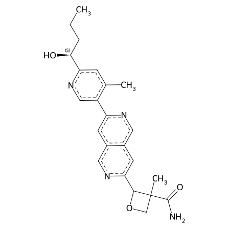 CCC[C@H](O)c1cc(C)c(-c2cc3cnc(C4OCC4(C)C(N)=O)cc3cn2)cn1